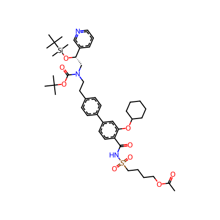 CC(=O)OCCCCS(=O)(=O)NC(=O)c1ccc(-c2ccc(CCN(C[C@H](O[Si](C)(C)C(C)(C)C)c3cccnc3)C(=O)OC(C)(C)C)cc2)cc1OC1CCCCC1